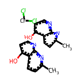 Cc1ccc2c(O)ccnc2n1.Cc1ccc2c(O)ccnc2n1.[Cl][Cr][Cl]